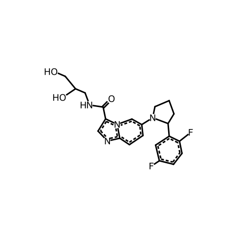 O=C(NCC(O)CO)c1cnc2ccc(N3CCCC3c3cc(F)ccc3F)cn12